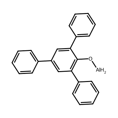 [AlH2][O]c1c(-c2ccccc2)cc(-c2ccccc2)cc1-c1ccccc1